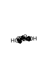 CC(C)C(NC(=O)[C@@H]1CCCN1C(=O)O)C(=O)NC1CC(C)(C)N(O)C(C)(C)C1